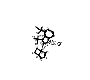 CC(C)(C)c1cccc2[nH][c]([Ti+2][C]34C=CC=C3CC4)c(C(C)(C)C)c12.[Cl-].[Cl-]